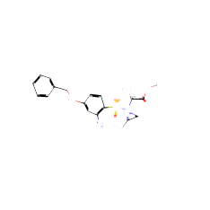 COC(=O)[C@@H](C)[N+]1(S(=O)(=O)c2ccc(OCc3ccccc3)cc2N)CC1Br